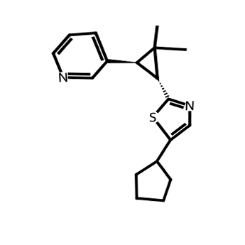 CC1(C)[C@H](c2cccnc2)[C@H]1c1ncc(C2CCCC2)s1